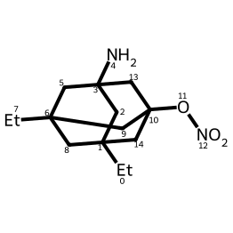 CCC12CC3(N)CC(CC)(C1)CC(O[N+](=O)[O-])(C3)C2